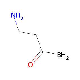 BC(=O)CCN